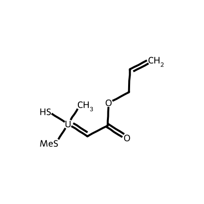 C=CCOC(=O)[CH]=[U]([CH3])([SH])[S]C